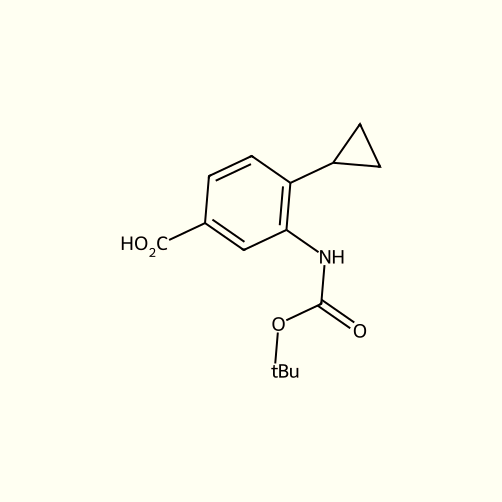 CC(C)(C)OC(=O)Nc1cc(C(=O)O)ccc1C1CC1